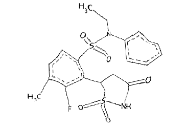 CCN(c1ccccc1)S(=O)(=O)c1ccc(C)c(F)c1C1CC(=O)NS1(=O)=O